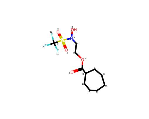 O=C(OCCN(O)S(=O)(=O)C(F)(F)F)C1CCCCCC1